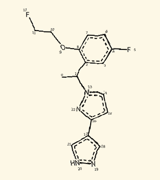 CC(c1cc(F)ccc1OCCF)n1ccc(-c2cn[nH]c2)n1